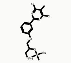 CNCC(COc1cccc(-c2nc(Cl)c(C)c(Cl)n2)c1)O[Si](C)(C)C(C)(C)C